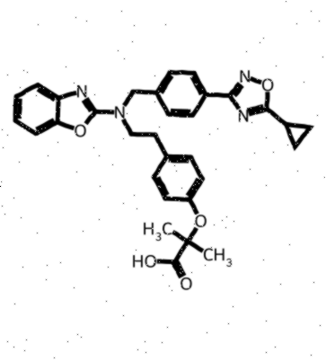 CC(C)(Oc1ccc(CCN(Cc2ccc(-c3noc(C4CC4)n3)cc2)c2nc3ccccc3o2)cc1)C(=O)O